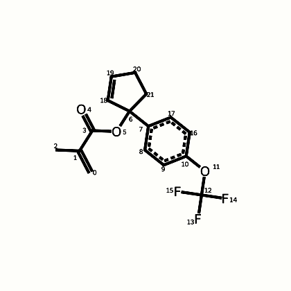 C=C(C)C(=O)OC1(c2ccc(OC(F)(F)F)cc2)C=CCC1